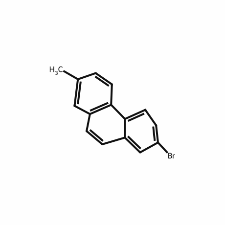 Cc1ccc2c(ccc3cc(Br)ccc32)c1